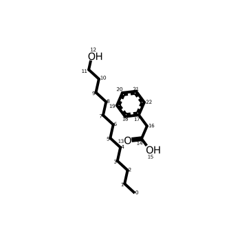 CCCCCCCCCCCCO.O=C(O)Cc1ccccc1